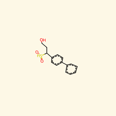 O=[SH](=O)C(CCO)c1ccc(-c2ccccc2)cc1